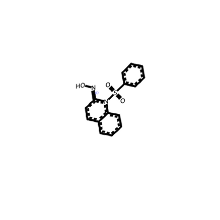 O=S(=O)(c1ccccc1)n1/c(=N/O)ccc2ccccc21